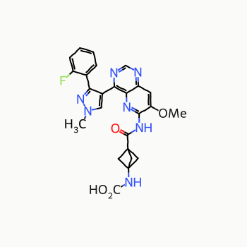 COc1cc2ncnc(-c3cn(C)nc3-c3ccccc3F)c2nc1NC(=O)C12CC(NC(=O)O)(C1)C2